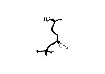 C=C(F)CCC(=C)CC(F)(F)F